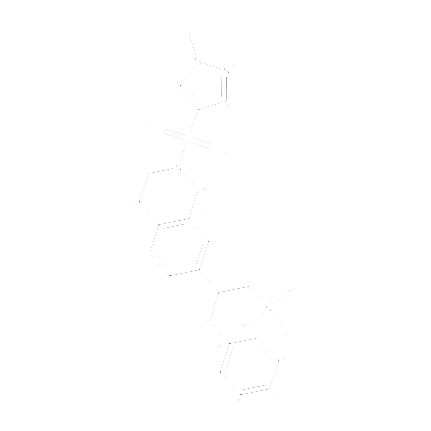 Cn1cc(S(=O)(=O)N2CCc3ccc(C(Cc4ccccc4)C[N+](C)(C)C)cc3C2)cn1